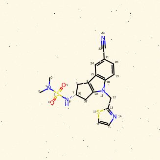 CN(C)S(=O)(=O)N[C@@H]1Cc2c(n(Cc3nccs3)c3ccc(C#N)cc23)C1